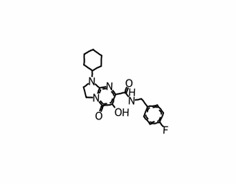 O=C(NCc1ccc(F)cc1)c1nc2n(c(=O)c1O)CCN2C1CCCCC1